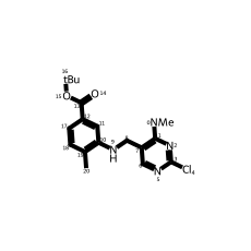 CNc1nc(Cl)ncc1CNc1cc(C(=O)OC(C)(C)C)ccc1C